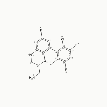 NCC1CNc2cc(F)cc(-c3c(Cl)c(F)cc(F)c3Cl)c2O1